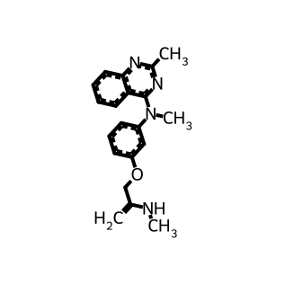 C=C(COc1cccc(N(C)c2nc(C)nc3ccccc23)c1)NC